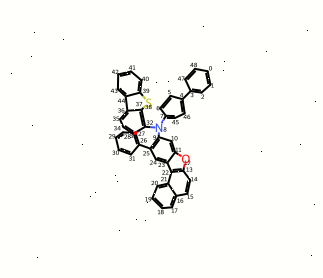 c1ccc(-c2ccc(N(c3cc4oc5ccc6ccccc6c5c4cc3-c3ccccc3)c3cccc4c3sc3ccccc34)cc2)cc1